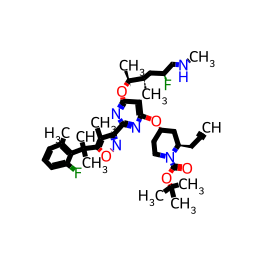 C#CC[C@@H]1C[C@@H](Oc2cc(O[C@@H](C)[C@@H](C)C[C@@H](F)CNC)nc(-c3noc(C(C)(C)c4c(C)cccc4F)c3C)n2)CCN1C(=O)OC(C)(C)C